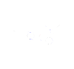 C=C1C[C@@](C)(c2cc(NC(=O)c3cnc(SCC#N)cn3)ccn2)N=C(N)S1